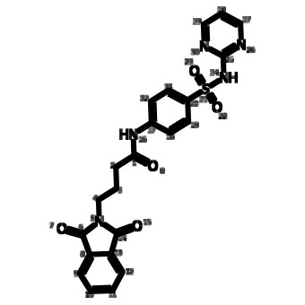 O=C(CCCN1C(=O)c2ccccc2C1=O)Nc1ccc(S(=O)(=O)Nc2ncccn2)cc1